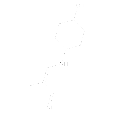 C/C(C=N)=C/NC1CCC(O)CC1